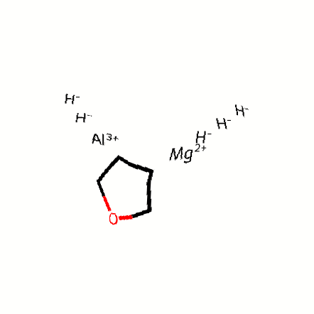 C1CCOC1.[Al+3].[H-].[H-].[H-].[H-].[H-].[Mg+2]